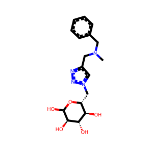 CN(Cc1ccccc1)Cc1cn(C[C@H]2OC(O)[C@H](O)[C@@H](O)[C@@H]2O)nn1